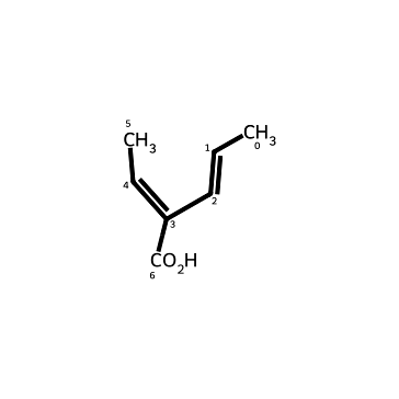 CC=CC(=CC)C(=O)O